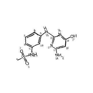 CS(=O)(=O)Nc1cccc(Nc2nc(N)cc(O)n2)c1